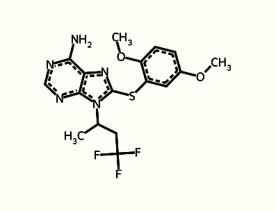 COc1ccc(OC)c(Sc2nc3c(N)ncnc3n2C(C)CC(F)(F)F)c1